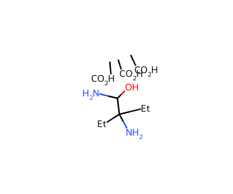 CC(=O)O.CC(=O)O.CC(=O)O.CCC(N)(CC)C(N)O